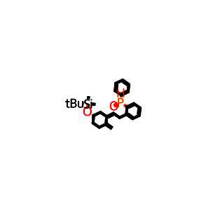 C=C1CC[C@H](O[Si](C)(C)C(C)(C)C)C/C1=C/Cc1ccccc1[PH](=O)c1ccccc1